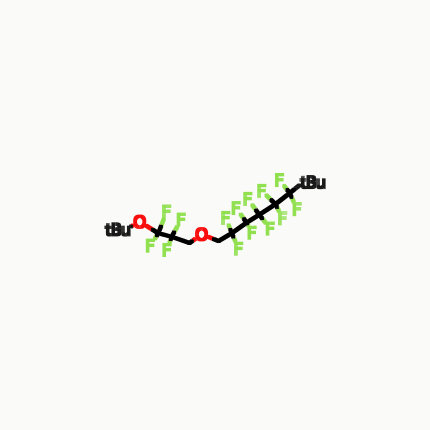 CC(C)(C)OC(F)(F)C(F)(F)COCC(F)(F)C(F)(F)C(F)(F)C(F)(F)C(F)(F)C(C)(C)C